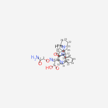 NC(=O)CO/N=C(\C(=O)O)c1nc2ccccc2n(C2CC3CCC[C@H](C2)N3C2CC3CCCCC(C3)C2)c1=O